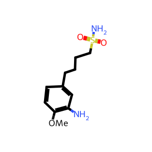 COc1ccc(CCCCS(N)(=O)=O)cc1N